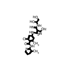 Cc1cccnc1NC(=O)c1c(C)cc(Nc2snc(O)c2C(=N)NC(O)CO)cc1Cl